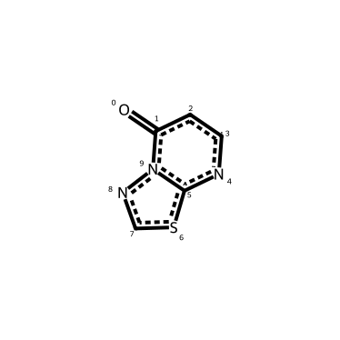 O=c1c[c]nc2scnn12